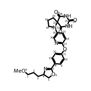 COCCCC1COC(c2ccc(Oc3ccc(N4CCCC45C(=O)NC(=O)NC5=O)cn3)cc2)=N1